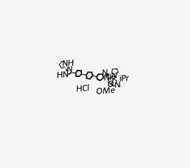 COC(=O)N(C)[C@H](C(=O)N1C[C@@H](C)C[C@H]1c1nc2cc(-c3ccc(-c4ccc(-c5c[nH]c([C@@H]6C[C@H](C)CN6)n5)cc4)cc3)ccc2[nH]1)C(C)C.Cl